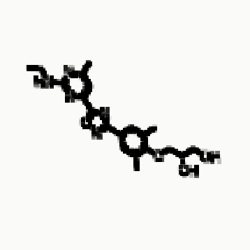 CCNc1nc(C)cc(-c2nc(-c3cc(C)c(OC[C@@H](O)CO)c(C)c3)no2)n1